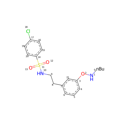 CCCCNOc1cccc(CCNS(=O)(=O)c2ccc(Cl)cc2)c1